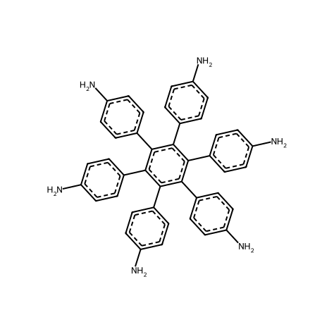 Nc1ccc(-c2c(-c3ccc(N)cc3)c(-c3ccc(N)cc3)c(-c3ccc(N)cc3)c(-c3ccc(N)cc3)c2-c2ccc(N)cc2)cc1